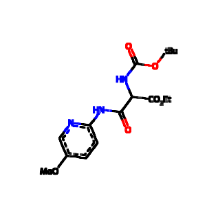 CCOC(=O)C(NC(=O)OC(C)(C)C)C(=O)Nc1ccc(OC)cn1